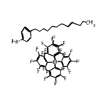 CCCCCCCCCCCCc1ccc([IH+])cc1.Fc1c(F)c(F)c([B-](c2c(F)c(F)c(F)c(F)c2F)(c2c(F)c(F)c(F)c(F)c2F)c2c(F)c(F)c(F)c(F)c2F)c(F)c1F